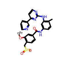 CCCOc1cc(C(=O)Nc2ccc(C)c(Nc3nccc(-c4cccnc4)n3)c2)ccc1C[SH](=O)=O